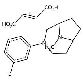 CN1C2CCC1CN(c1cccc(F)c1)CC2.O=C(O)/C=C/C(=O)O